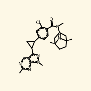 Cc1ncc2c(C3CC3c3ccc(C(=O)N(C)C4C[C@]5(C)CC[C@](C)(C4)N5)c(Cl)c3)nn(C)c2n1